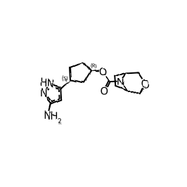 Nc1cc([C@H]2CC[C@@H](OC(=O)N3C4CCC3COC4)C2)[nH]n1